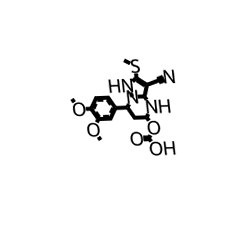 COc1ccc(C2CC(OC(=O)O)NC3C(C#N)=C(SC)NN32)cc1OC